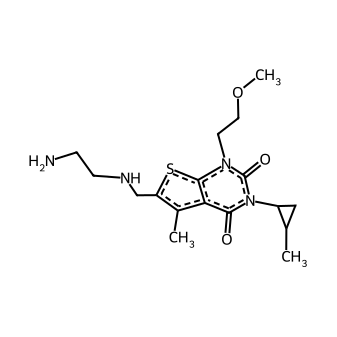 COCCn1c(=O)n(C2CC2C)c(=O)c2c(C)c(CNCCN)sc21